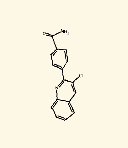 NC(=O)c1ccc(-c2nc3ccccc3cc2Cl)cc1